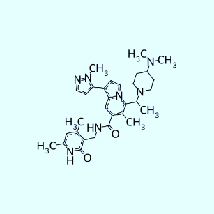 Cc1cc(C)c(CNC(=O)c2cc3c(-c4ccnn4C)ccn3c(C(C)N3CCC(N(C)C)CC3)c2C)c(=O)[nH]1